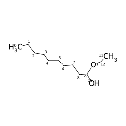 CCCCCCCCCC(O)OCC